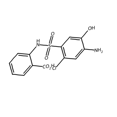 Nc1cc(Cl)c(S(=O)(=O)Nc2ccccc2C(=O)O)cc1O